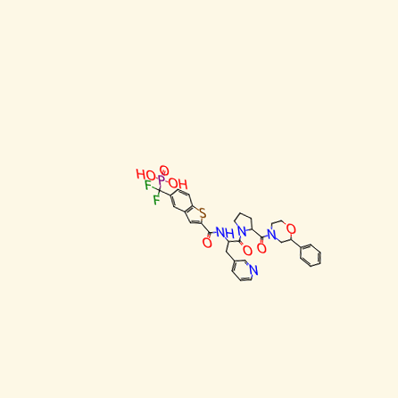 O=C(NC(Cc1cccnc1)C(=O)N1CCCC1C(=O)N1CCOC(c2ccccc2)C1)c1cc2cc(C(F)(F)P(=O)(O)O)ccc2s1